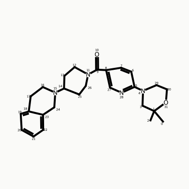 CC1(C)CN(c2ccc(C(=O)N3CCC(N4CCc5ccccc5C4)CC3)cn2)CCO1